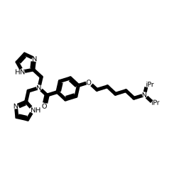 CC(C)N(CCCCCOc1ccc(C(=O)N(Cc2ncc[nH]2)Cc2ncc[nH]2)cc1)C(C)C